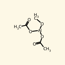 C[O][Al]([O]C(C)=O)[O]C(C)=O